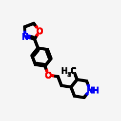 CC1CNCCC1CCOc1ccc(C2=NCCO2)cc1